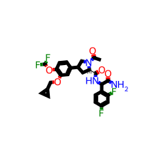 CC(=O)N1CC(c2ccc(OC(F)F)c(OCC3CC3)c2)C[C@H]1C(=O)NC(C(N)=O)c1ccc(F)cc1F